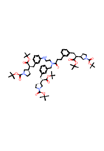 CC(C)(C)OC(=O)[C@@H](Cc1cccc(CCC(=O)N(CCNc2cccc(C[C@H](C(=O)OC(C)(C)C)[C@H]3CCN(C(=O)OC(C)(C)C)C3)c2)Cc2cccc(C[C@H](C(=O)OC(C)(C)C)[C@H]3CCN(C(=O)OC(C)(C)C)C3)c2)c1)[C@H]1CCN(C(=O)OC(C)(C)C)C1